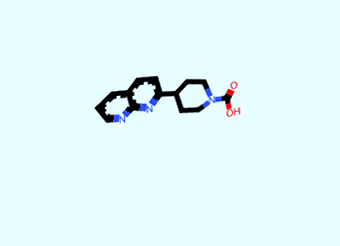 O=C(O)N1CCC(c2ccc3cccnc3n2)CC1